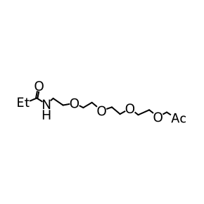 CCC(=O)NCCOCCOCCOCCOCC(C)=O